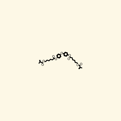 C=C(C)C(=O)OCCCCCC(=O)Oc1ccc(Oc2ccc(OC(=O)CCCCCOC(=O)C(=C)C)cc2)cc1